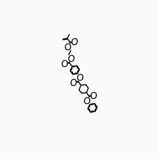 C=C(C)C(=O)OCCOC(=O)c1ccc(OC(=O)C2CCC(C(=O)Oc3ccccc3)CC2)cc1